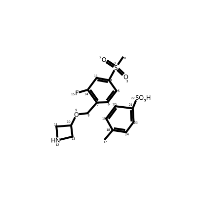 CS(=O)(=O)c1ccc(COC2CNC2)c(F)c1.Cc1ccc(S(=O)(=O)O)cc1